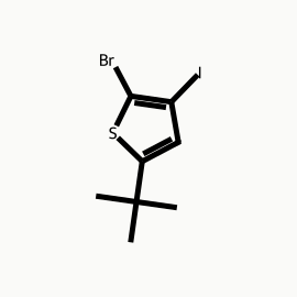 CC(C)(C)c1cc(I)c(Br)s1